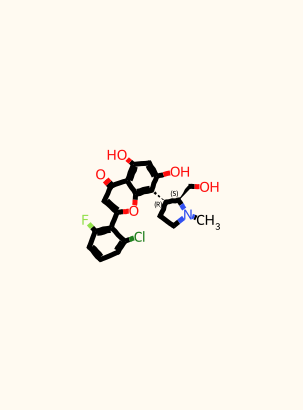 CN1CC[C@H](c2c(O)cc(O)c3c(=O)cc(-c4c(F)cccc4Cl)oc23)[C@H]1CO